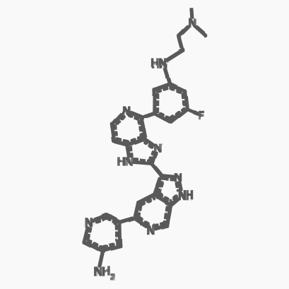 CN(C)CCNc1cc(F)cc(-c2nccc3[nH]c(-c4n[nH]c5cnc(-c6cncc(N)c6)cc45)nc23)c1